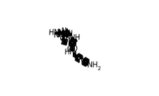 Cc1cc(S(=O)(=O)NCCC2CCN(c3ccc(N)cc3)CC2)ccc1Nc1nc2c(OC3CCC3)c(-c3cn[nH]c3)ncn2n1